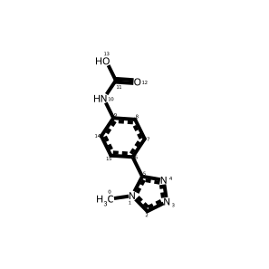 Cn1cnnc1-c1ccc(NC(=O)O)cc1